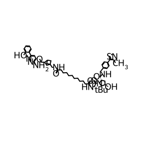 Cc1ncsc1-c1ccc(CNC(=O)[C@@H]2C[C@@H](O)CN2C(=O)[C@@H](NC(=O)CCCCCCCCCCC(=O)NCC23CC(COc4cc(-c5ccccc5O)nnc4N)C(C2)C3)C(C)(C)C)cc1